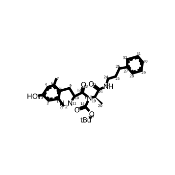 Cc1cc(O)cc(C)c1CC(N)C(=O)N(C(=O)OC(C)(C)C)[C@H](C)C(=O)NCCCc1ccccc1